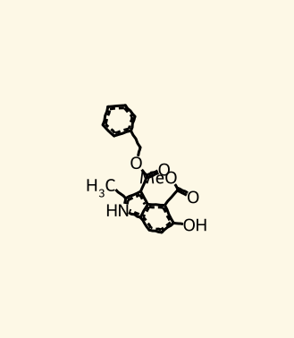 COC(=O)c1c(O)ccc2[nH]c(C)c(C(=O)OCc3ccccc3)c12